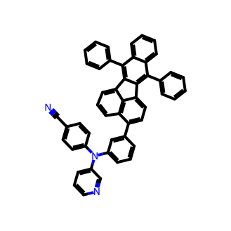 N#Cc1ccc(N(c2cccnc2)c2cccc(-c3ccc4c5c(cccc35)-c3c-4c(-c4ccccc4)c4ccccc4c3-c3ccccc3)c2)cc1